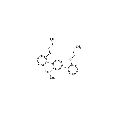 CCCOc1ccccc1-c1ccc(-c2ccccc2OCCC)c(C(C)=O)c1